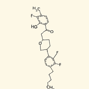 CCCCCc1ccc(C2CCC(CC(=O)c3ccc(C)c(F)c3O)OC2)c(F)c1F